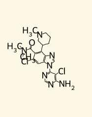 CN1CCCC(c2c(C(=O)N(C)C)c(Cl)cc3c2ncn3-c2ncnc(N)c2Cl)C1